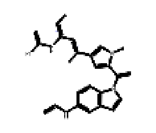 C=CNc1ccc2c(ccn2C(=C)c2cc(/C(C)=C/C(=C\C)NC(=C)C(C)C)cn2C)c1